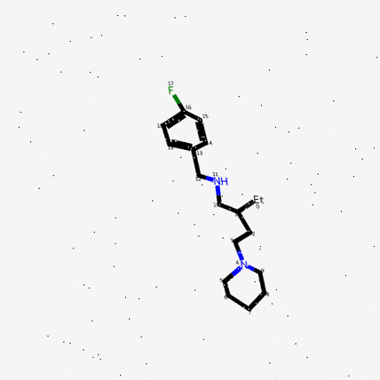 CCC(CCN1CCCCC1)CNCc1ccc(F)cc1